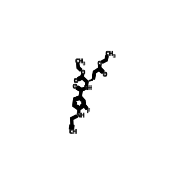 C#CCNc1ccc(C(=O)N[C@@H](CCC(=O)OCC)C(=O)OCC)cc1F